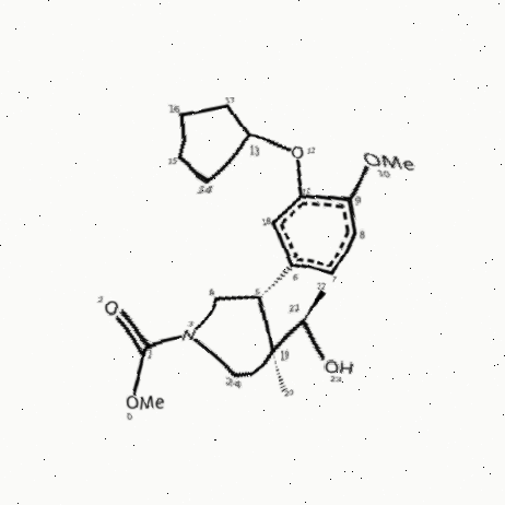 COC(=O)N1C[C@H](c2ccc(OC)c(OC3CCCC3)c2)[C@@](C)([C@@H](C)O)C1